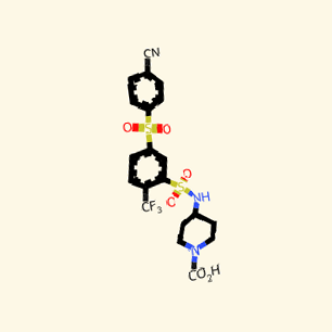 N#Cc1ccc(S(=O)(=O)c2ccc(C(F)(F)F)c(S(=O)(=O)NC3CCN(C(=O)O)CC3)c2)cc1